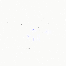 CCNn1c(Nc2c[nH]c3ccc(Cl)cc23)nc2cc(C(F)(F)F)ccc21